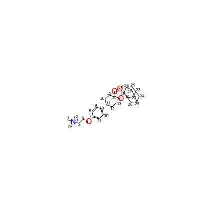 C[N+](C)(C)CCOc1ccc([C@H]2CC[C@]3(CC2)OO[C@]2(O3)C3CC4CC(C3)CC2C4)cc1